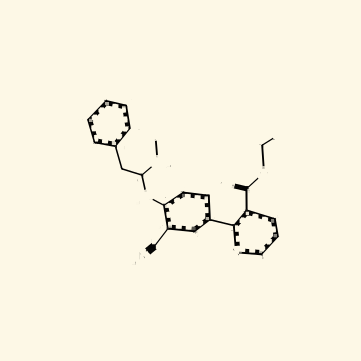 CCOC(=O)c1cccnc1-c1ccc(OC(Cc2ccccc2)OC)c(C#N)c1